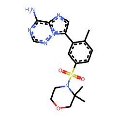 Cc1ccc(S(=O)(=O)N2CCOCC2(C)C)cc1-c1cnc2c(N)ncnn12